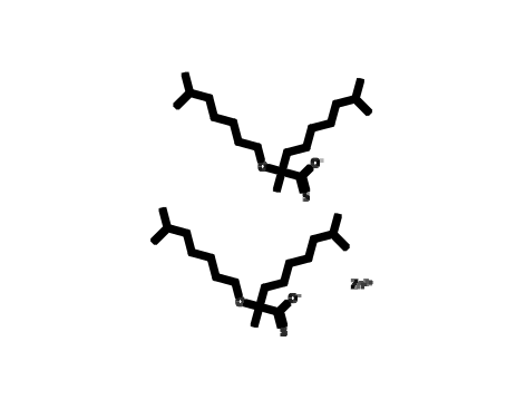 CC(C)CCCCCOC(C)(CCCCCC(C)C)C([O-])=S.CC(C)CCCCCOC(C)(CCCCCC(C)C)C([O-])=S.[Zn+2]